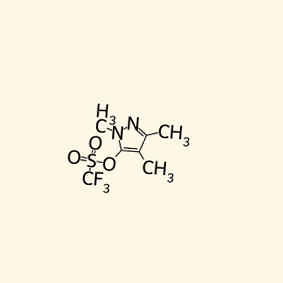 Cc1nn(C)c(OS(=O)(=O)C(F)(F)F)c1C